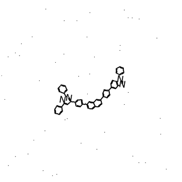 c1ccc(-c2cc(-c3ccc(-c4ccc5ccc(-c6ccc(-c7ccc8c(c7)ncn8-c7ccccc7)cc6)cc5c4)cc3)nc(-c3ccccc3)n2)cc1